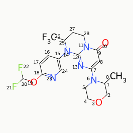 CC1COCCN1c1cc(=O)n2c(n1)N(c1ccc(OC(F)F)nc1)C(C(F)(F)F)CC2